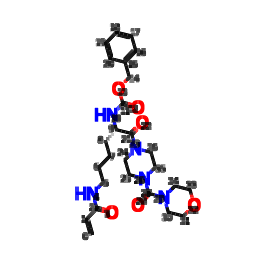 C=CC(=O)NCCCC[C@H](NC(=O)OCc1ccccc1)C(=O)N1CCN(C(=O)N2CCOCC2)CC1